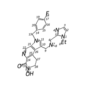 CCn1ccnc1CN(C)Cc1cn(Cc2ccc(F)cc2)c2cnc3c(c12)CCN(O)C3=O